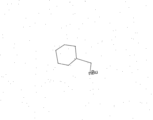 [CH2]CCCC[C]1CCCCC1